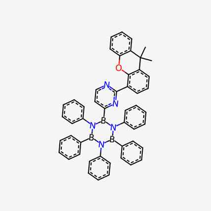 CC1(C)c2ccccc2Oc2c(-c3nccc(B4N(c5ccccc5)B(c5ccccc5)N(c5ccccc5)B(c5ccccc5)N4c4ccccc4)n3)cccc21